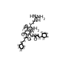 CC(C)C[C@H](NC(=O)[C@@H](N)CCCNC(=N)N)C(=O)N(C(=O)CCCc1ccccc1)[C@H](CNC(=O)/C=C/c1ccccc1)C(C)C